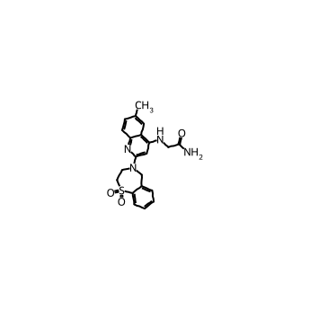 Cc1ccc2nc(N3CCS(=O)(=O)c4ccccc4C3)cc(NCC(N)=O)c2c1